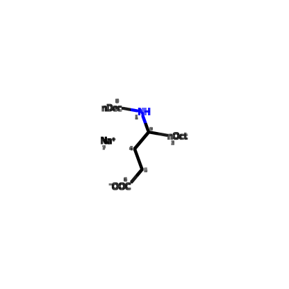 CCCCCCCCCCNC(CCCCCCCC)CCC(=O)[O-].[Na+]